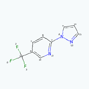 FC(F)(F)c1ccc(-n2cccn2)nc1